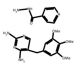 COc1cc(Cc2cnc(N)nc2N)cc(OC)c1OC.NNC(=O)c1ccncc1